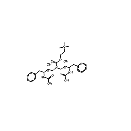 C[Si](C)(C)CCOC(=O)N(C[C@@H](O)C(Cc1ccccc1)NC(=O)O)C[C@H](O)C(Cc1ccccc1)NC(=O)O